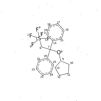 FS(F)(F)(F)(F)CC(OC1CCCC1)(c1ccccc1)c1ccccc1